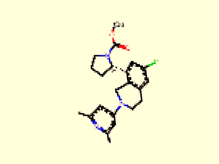 Cc1cc(N2CCc3cc(Cl)cc([C@@H]4CCCN4C(=O)OC(C)(C)C)c3C2)cc(C)n1